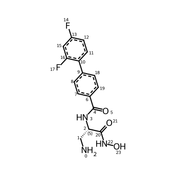 NC[C@H](NC(=O)c1ccc(-c2ccc(F)cc2F)cc1)C(=O)NO